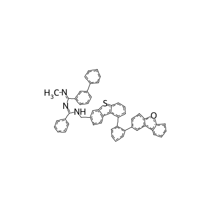 C/N=C(\N=C(/NCc1ccc2c(c1)sc1cccc(-c3ccccc3-c3ccc4oc5ccccc5c4c3)c12)c1ccccc1)c1cccc(-c2ccccc2)c1